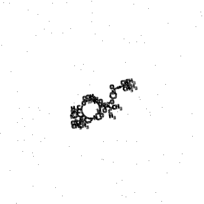 CCn1c(-c2cccnc2[C@H](C)OC)c2c3cc(ccc31)N1CCO[C@@H](C[C@H](NC(=O)[C@@H](COC3CCN(C(=O)C#CC(C)(C)N(C)C)CC3)C(C)C)C(=O)N3CCC[C@@](O)(N3)C(=O)OCC(C)(C)C2)C1